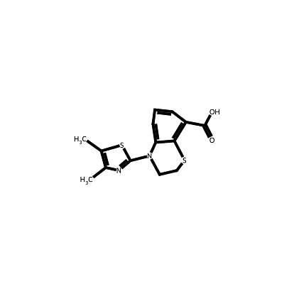 Cc1nc(N2CCSc3c(C(=O)O)cccc32)sc1C